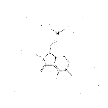 C=C1C2=C(C)N(C)CCN2C(CCN(C)C)C1C